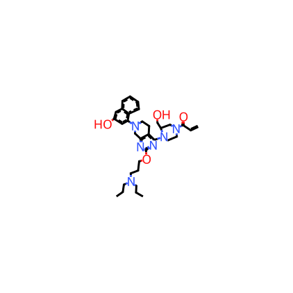 C=CC(=O)N1CCN(c2nc(OCCCN(CCC)CCC)nc3c2CCN(c2cc(O)cc4ccccc24)C3)C(CO)C1